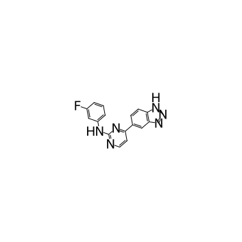 Fc1cccc(Nc2nccc(-c3ccc4[nH]nnc4c3)n2)c1